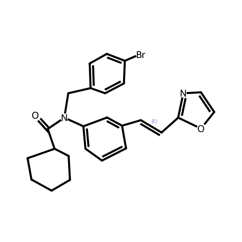 O=C(C1CCCCC1)N(Cc1ccc(Br)cc1)c1cccc(/C=C/c2ncco2)c1